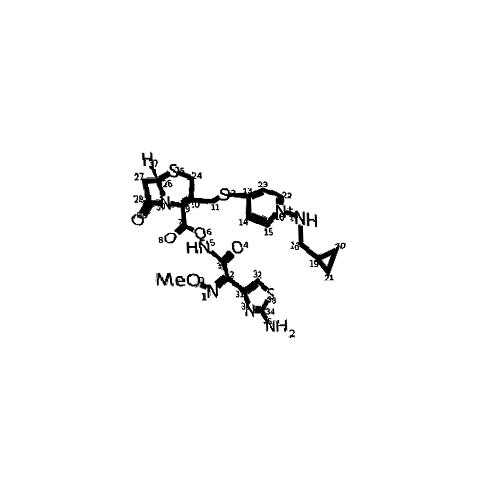 CO/N=C(\C(=O)NOC(=O)C1=C(CSc2cc[n+](NCC3CC3)cc2)CS[C@H]2CC(=O)N12)c1csc(N)n1